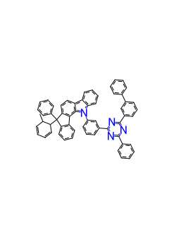 CC1C=CC=CC1C1(c2ccccc2)c2ccccc2-c2c1ccc1c3ccccc3n(-c3cccc(-c4nc(-c5ccccc5)nc(-c5cccc(-c6ccccc6)c5)n4)c3)c21